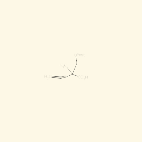 C=C=CC(C)(CCCCCC)C(=O)O